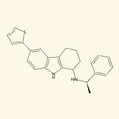 C[C@@H](NC1CCCc2c1[nH]c1ccc(-c3cccs3)cc21)c1ccccc1